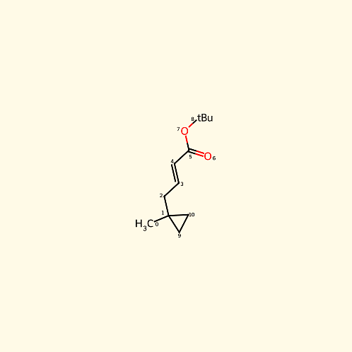 CC1(C/C=C/C(=O)OC(C)(C)C)CC1